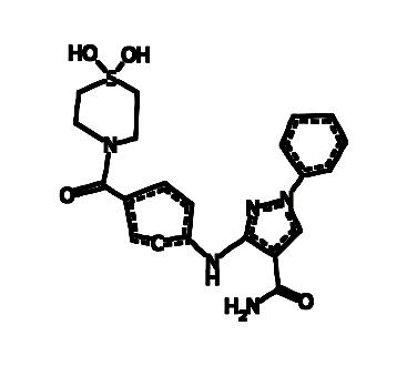 NC(=O)c1cn(-c2ccccc2)nc1Nc1ccc(C(=O)N2CCS(O)(O)CC2)cc1